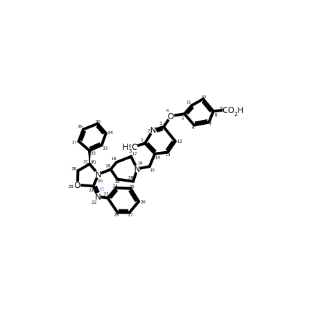 Cc1nc(Oc2ccc(C(=O)O)cc2)ccc1CN1CCC(N2/C(=N\c3ccccc3)OC[C@H]2c2ccccc2)CC1